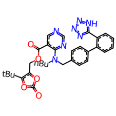 CCCCN(Cc1ccc(-c2ccccc2-c2nnn[nH]2)cc1)c1ncncc1C(=O)OCc1oc(=O)oc1C(C)(C)C